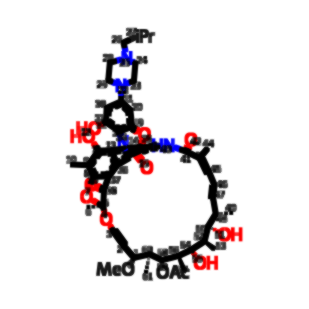 CO[C@H]1/C=C/O[C@@]2(C)Oc3c(C)c(O)c4c(=O)c(c5oc6cc(N7CCN(CC(C)C)CC7)cc(O)c6nc-5c4c3C2=O)NC(=O)/C(C)=C\C=C\[C@H](C)[C@H](O)[C@@H](C)[C@@H](O)[C@@H](C)[C@H](OC(C)=O)[C@@H]1C